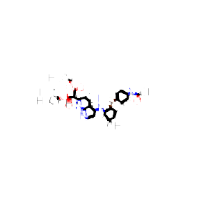 CCOC(=O)C(C(=O)OC(C)(C)C)c1ccc2c(Nc3cc(C)ccc3Sc3ccc(NC(C)=O)cc3)ccnc2n1